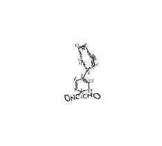 O=CC1(C=O)C=CC(c2ccccc2)=CC1